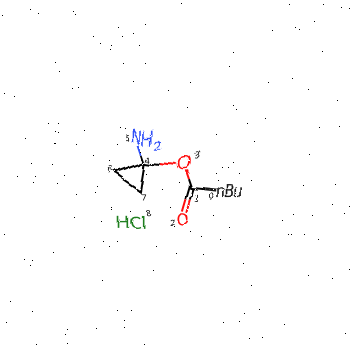 CCCCC(=O)OC1(N)CC1.Cl